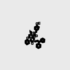 O=C1[C@H](c2ccccc2)N2C(=O)CN(CI)N(C(=O)NCc3ccc(OCl)cc3)[C@H]2CN1CCC(c1ccccc1)c1ccccc1